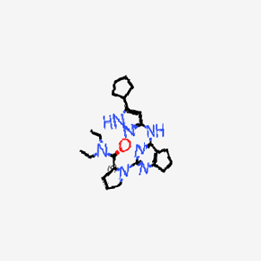 CCN(CC)C(=O)[C@@H]1CCCN1c1nc2c(c(Nc3cc(C4CCCC4)[nH]n3)n1)CCC2